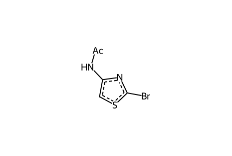 CC(=O)Nc1csc(Br)n1